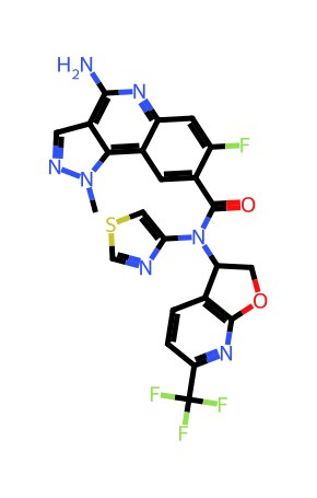 Cn1ncc2c(N)nc3cc(F)c(C(=O)N(c4cscn4)C4COc5nc(C(F)(F)F)ccc54)cc3c21